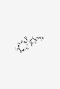 O=C([C@@H]1C[C@@H](S(=O)(=O)O)CN1)N1CCCCNCCC1